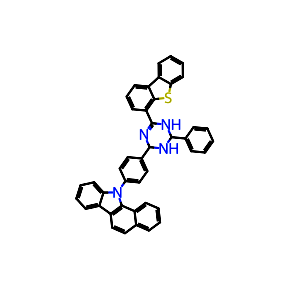 c1ccc(C2NC(c3cccc4c3sc3ccccc34)=NC(c3ccc(-n4c5ccccc5c5ccc6ccccc6c54)cc3)N2)cc1